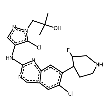 CC(C)(O)Cn1ncc(Nc2ncc3cc(Cl)c(C4CCNCC4F)cc3n2)c1Cl